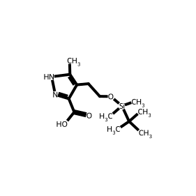 Cc1[nH]nc(C(=O)O)c1CCO[Si](C)(C)C(C)(C)C